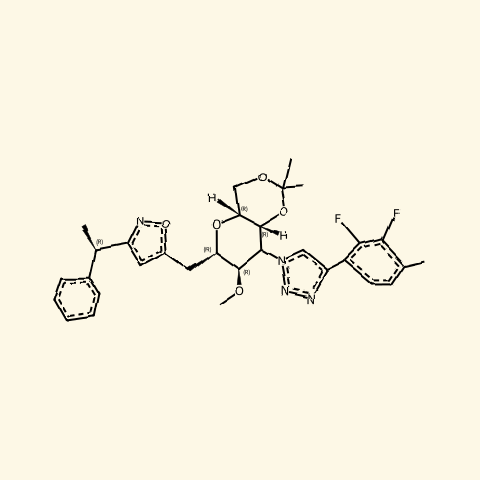 CO[C@@H]1C(n2cc(-c3ccc(C)c(F)c3F)nn2)[C@H]2OC(C)(C)OC[C@H]2O[C@@H]1Cc1cc([C@H](C)c2ccccc2)no1